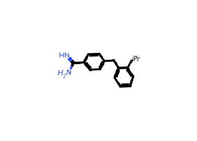 CC(C)c1ccccc1Cc1ccc(C(=N)N)cc1